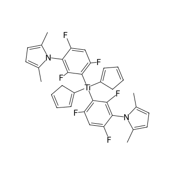 Cc1ccc(C)n1-c1c(F)cc(F)[c]([Ti]([C]2=CC=CC2)([C]2=CC=CC2)[c]2c(F)cc(F)c(-n3c(C)ccc3C)c2F)c1F